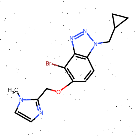 Cn1ccnc1COc1ccc2c(nnn2CC2CC2)c1Br